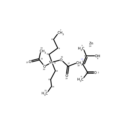 CC(=O)/C=C(/C)O.CCC[CH2][Sn]([CH2]CCC)([O]C(C)=O)[O]C(C)=O.[Zn]